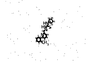 Cc1ccccc1-c1cccc(C=NNC(=S)NN2CCCC2)n1